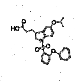 CC(C)Oc1ccc2c(c1)c(CCC(=O)O)cn2S(=O)(=O)c1ccccc1Oc1ccccc1